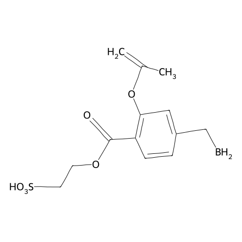 BCc1ccc(C(=O)OCCS(=O)(=O)O)c(OC(=C)C)c1